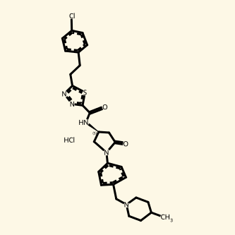 CC1CCN(Cc2ccc(N3C[C@@H](NC(=O)c4nnc(CCc5ccc(Cl)cc5)s4)CC3=O)cc2)CC1.Cl